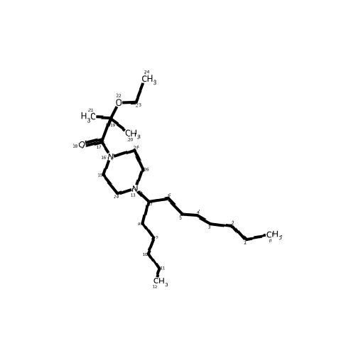 CCCCCCCC(CCCCC)N1CCN(C(=O)C(C)(C)OCC)CC1